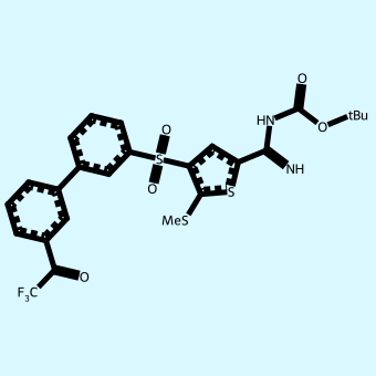 CSc1sc(C(=N)NC(=O)OC(C)(C)C)cc1S(=O)(=O)c1cccc(-c2cccc(C(=O)C(F)(F)F)c2)c1